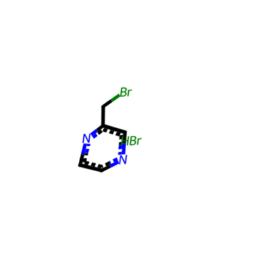 Br.BrCc1cnccn1